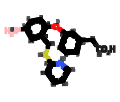 Bc1ccc(Oc2cccc(CC(=O)O)c2)c(CSc2ccccn2)c1